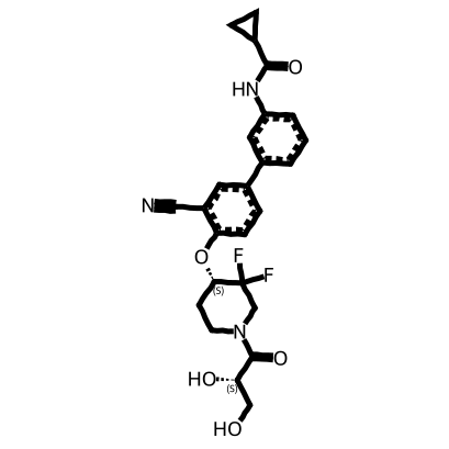 N#Cc1cc(-c2cccc(NC(=O)C3CC3)c2)ccc1O[C@H]1CCN(C(=O)[C@@H](O)CO)CC1(F)F